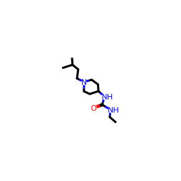 CCNC(=O)NC1CCN(CCC(C)C)CC1